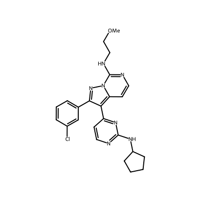 COCCNc1nccc2c(-c3ccnc(NC4CCCC4)n3)c(-c3cccc(Cl)c3)nn12